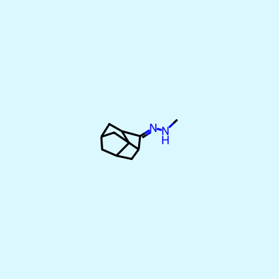 CNN=C1C2CC3CC(C2)CC1C3